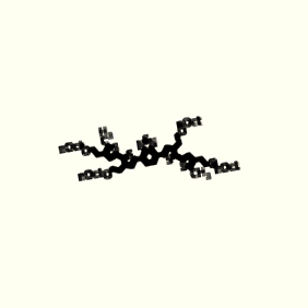 CCCCCCCCOCCc1cc(-c2sc(-c3ccc(-c4cc(CCOCCCCCCCC)c(-c5cc(CCOCCCCCCCC)c(C)s5)s4)c4nsnc34)cc2CCOCCCCCCCC)sc1C